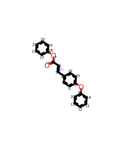 O=C(/C=C/c1ccc(Oc2ccccc2)cc1)Oc1ccccc1